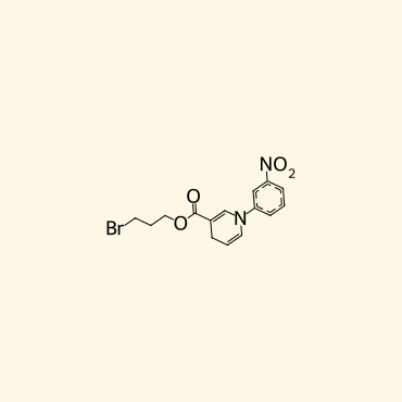 O=C(OCCCBr)C1=CN(c2cccc([N+](=O)[O-])c2)C=CC1